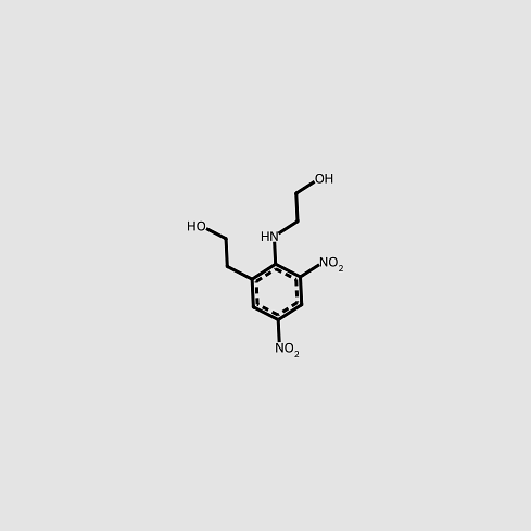 O=[N+]([O-])c1cc(CCO)c(NCCO)c([N+](=O)[O-])c1